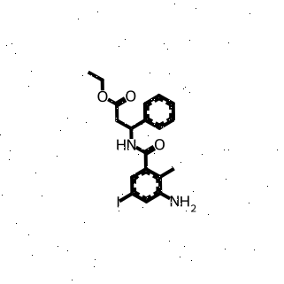 CCOC(=O)CC(NC(=O)c1cc(I)cc(N)c1C)c1ccccc1